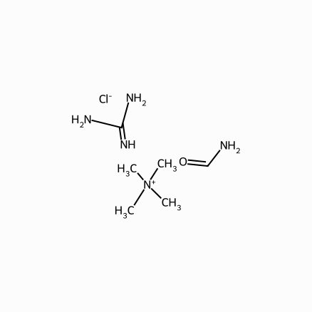 C[N+](C)(C)C.N=C(N)N.NC=O.[Cl-]